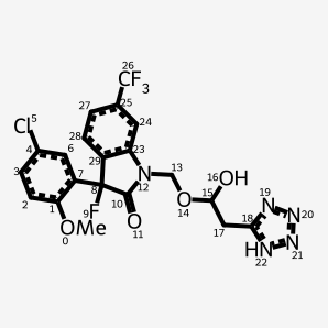 COc1ccc(Cl)cc1C1(F)C(=O)N(COC(O)Cc2nnn[nH]2)c2cc(C(F)(F)F)ccc21